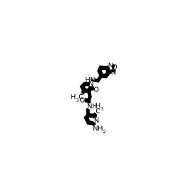 Cc1ccn(NCc2ccc3nonc3c2)c(=O)c1CC(=O)NCc1ccc(N)nc1C